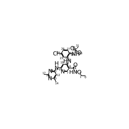 CCONC(=O)c1cnc(Nc2cc(C)nc(C)n2)cc1Nc1cc(Cl)ccc1NS(C)(=O)=O